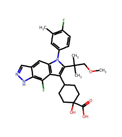 COCC(C)(C)c1c(C2CCC(O)(C(=O)O)CC2)c2c(F)c3[nH]ncc3cc2n1-c1ccc(F)c(C)c1